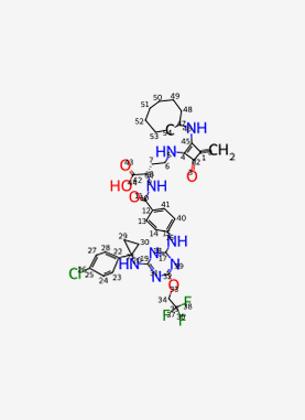 C=C1C(=O)C(NCC[C@H](NC(=O)c2ccc(Nc3nc(NC4(c5ccc(Cl)cc5)CC4)nc(OCC(F)(F)F)n3)cc2)C(=O)O)=C1NC1CCCCCCC1